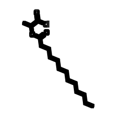 CCCCCCCCCCCCC(=O)OC(C)C(=O)Cl